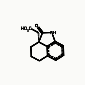 O=C(O)C[C@@]12CCCc3cccc(c31)NC2=O